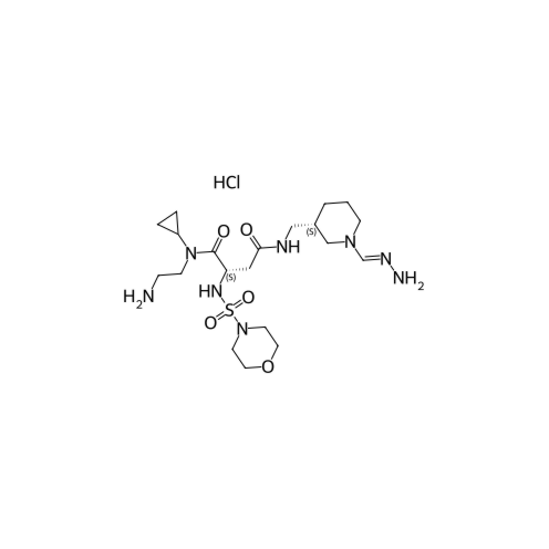 Cl.NCCN(C(=O)[C@H](CC(=O)NC[C@@H]1CCCN(C=NN)C1)NS(=O)(=O)N1CCOCC1)C1CC1